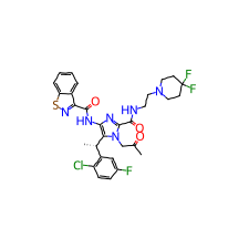 CC(=O)Cn1c(C(=O)NCCN2CCC(F)(F)CC2)nc(NC(=O)c2nsc3ccccc23)c1[C@@H](C)c1cc(F)ccc1Cl